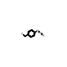 [N-]=[N+]=Nc1ccc(CF)cc1